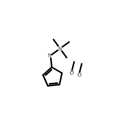 CCl.CCl.C[Si](C)(C)[Ti][C]1=CC=CC1